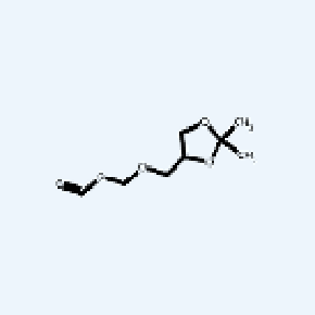 CC1(C)OCC(COCO[C]=O)O1